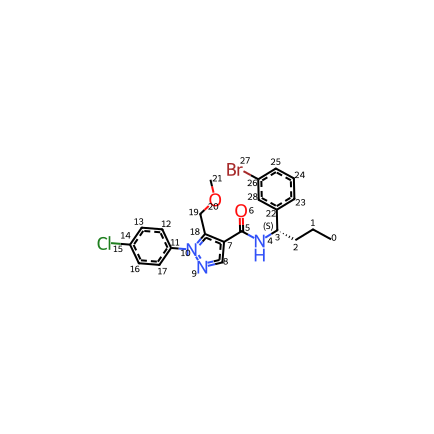 CCC[C@H](NC(=O)c1cnn(-c2ccc(Cl)cc2)c1COC)c1cccc(Br)c1